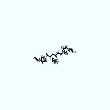 C=C[n+]1ccn(CCCCCCn2cc[n+](C=C)c2)c1.[Br-].[Br-]